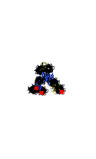 C1=C(c2nc(-c3cccc(-n4c5ccccc5c5ccccc54)c3)nc(-c3ccc4c(c3)sc3ccccc34)n2)c2c(sc3ccccc23)CC1